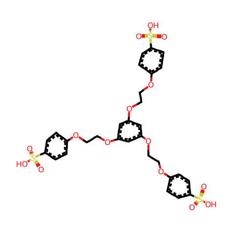 O=S(=O)(O)c1ccc(OCCOc2cc(OCCOc3ccc(S(=O)(=O)O)cc3)cc(OCCOc3ccc(S(=O)(=O)O)cc3)c2)cc1